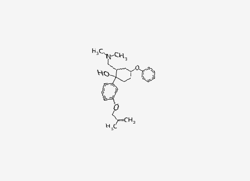 C=C(C)COc1cccc(C2(O)CCC(Oc3ccccc3)CC2CN(C)C)c1